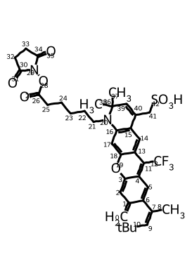 C=c1cc2c(cc1/C(C)=C\C(C)(C)C)=C(C(F)(F)F)c1cc3c(cc1O2)N(CCCCCC(=O)ON1C(=O)CCC1=O)C(C)(C)C=C3CS(=O)(=O)O